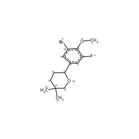 COc1c(F)cc(C2CCC(C)(C)CO2)cc1Br